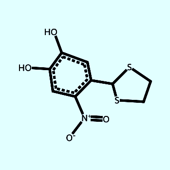 O=[N+]([O-])c1cc(O)c(O)cc1C1SCCS1